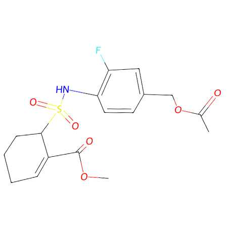 COC(=O)C1=CCCCC1S(=O)(=O)Nc1ccc(COC(C)=O)cc1F